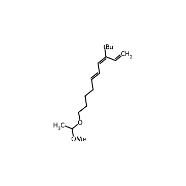 C=C/C(=C\C=C\CCCCOC(C)OC)C(C)(C)C